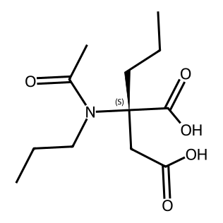 CCCN(C(C)=O)[C@@](CCC)(CC(=O)O)C(=O)O